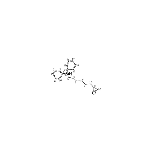 c1ccc([SiH](CCCCCCC2CO2)c2ccccc2)cc1